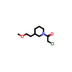 COCCC1CCCN(C(=O)CCl)C1